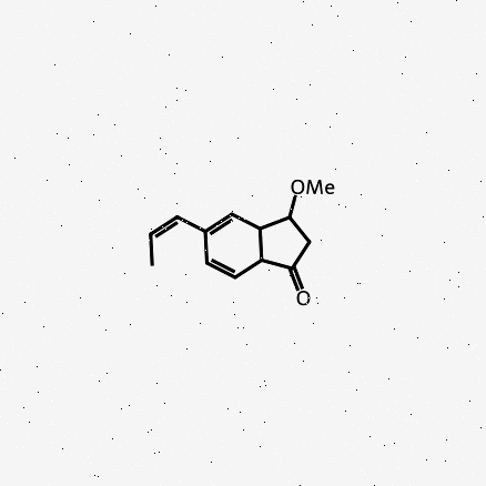 C/C=C\C1=CC2C(OC)CC(=O)C2C=C1